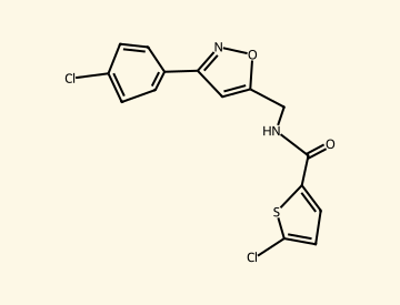 O=C(NCc1cc(-c2ccc(Cl)cc2)no1)c1ccc(Cl)s1